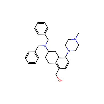 CN1CCN(c2ccc(CO)c3c2CC(N(Cc2ccccc2)Cc2ccccc2)CC3)CC1